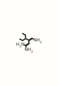 CCC(CC)/C(C=C(N)N)=C/N